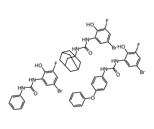 O=C(Nc1cc(Br)cc(F)c1O)NC12CC3CC(CC(C3)C1)C2.O=C(Nc1ccc(Oc2ccccc2)cc1)Nc1cc(Br)cc(F)c1O.O=C(Nc1ccccc1)Nc1cc(Br)cc(F)c1O